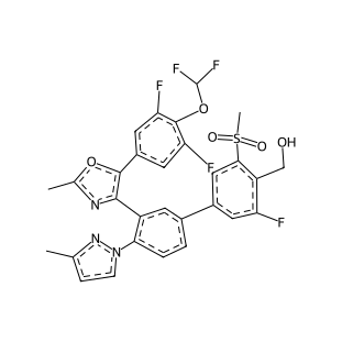 Cc1ccn(-c2ccc(-c3cc(F)c(CO)c(S(C)(=O)=O)c3)cc2-c2nc(C)oc2-c2cc(F)c(OC(F)F)c(F)c2)n1